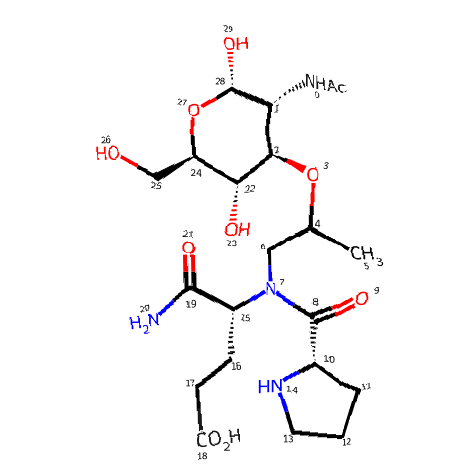 CC(=O)N[C@@H]1[C@@H](OC(C)CN(C(=O)[C@@H]2CCCN2)[C@H](CCC(=O)O)C(N)=O)[C@H](O)[C@@H](CO)O[C@@H]1O